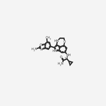 Cc1cc(-c2[nH]c3cc(N[C@H](C(N)=O)C4CC4)cc4c3c2NCCO4)cc2nc(N)oc12